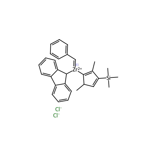 CC1=[C](/[Zr+2](=[CH]/c2ccccc2)[CH]2c3ccccc3-c3ccccc32)C(C)C=C1[Si](C)(C)C.[Cl-].[Cl-]